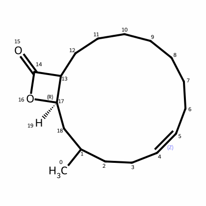 CC1CC/C=C\CCCCCCCC2C(=O)O[C@@H]2C1